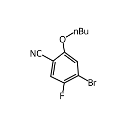 CCCCOc1cc(Br)c(F)cc1C#N